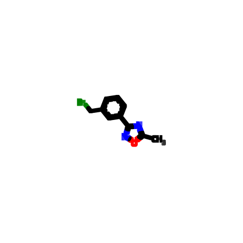 Cc1nc(-c2cccc(CBr)c2)no1